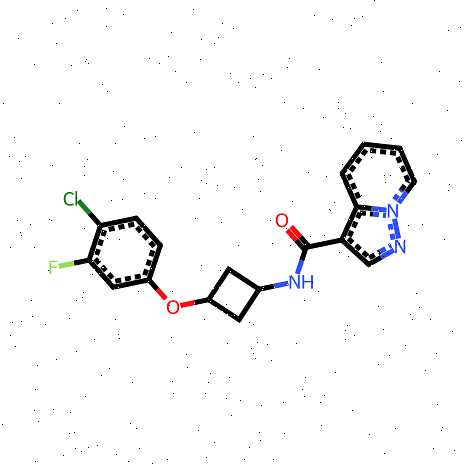 O=C(NC1CC(Oc2ccc(Cl)c(F)c2)C1)c1cnn2ccccc12